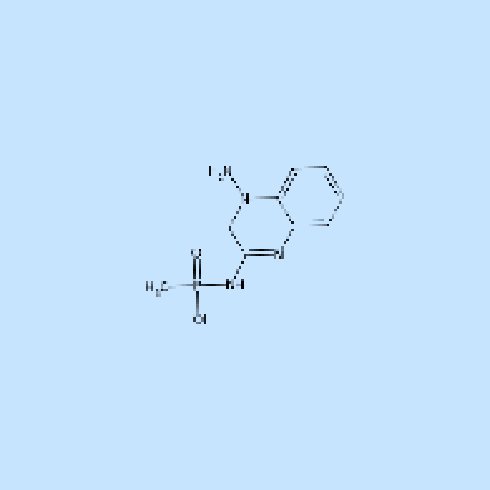 CP(=O)(O)NC1=Nc2ccccc2N(N)C1